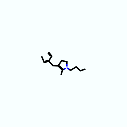 C=C/C(=C\C)CC1=C(C)N(CCCC)CC1